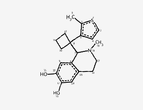 Cc1sccc1C1(C2c3cc(O)c(O)cc3CCN2C)CCC1